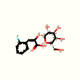 O=C(O)/C(=C\c1ccccc1F)O[C@H]1O[C@@H](CO)[C@H](O)[C@H](O)[C@H]1O